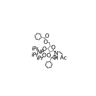 CC(=O)/C=C\N[C@@H]1O[C@H](COC(=O)c2ccccc2)C(OP(OC(C)C)N(C(C)C)C(C)C)C1OC(=O)c1ccccc1